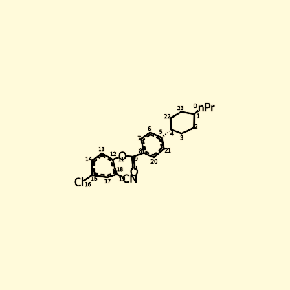 CCC[C@H]1CC[C@H](c2ccc(C(=O)Oc3ccc(Cl)cc3C#N)cc2)CC1